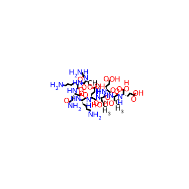 C[C@H](NC(=O)CN)C(=O)N[C@@H](CCCCN)C(=O)N[C@@H](CCC(N)=O)C(=O)N[C@@H](CCCCN)C(=O)N[C@@H](CCC(=O)O)C(=O)N[C@H](C(=O)N[C@@H](CCC(=O)O)C(=O)N[C@H](C(=O)N[C@@H](CCC(=O)O)C(=O)O)[C@@H](C)O)[C@@H](C)O